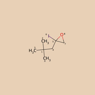 CC(C)(C)CC1(I)CO1